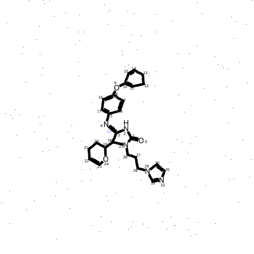 O=C1N/C(=N\c2ccc(OC3=CCCC=C3)cc2)C(C2CCC=CO2)N1CCCn1ccnc1